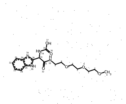 COCCOCCOCCNC(=O)C(NC(=O)O)c1nc2ccccc2[nH]1